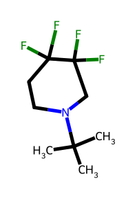 CC(C)(C)N1CCC(F)(F)C(F)(F)C1